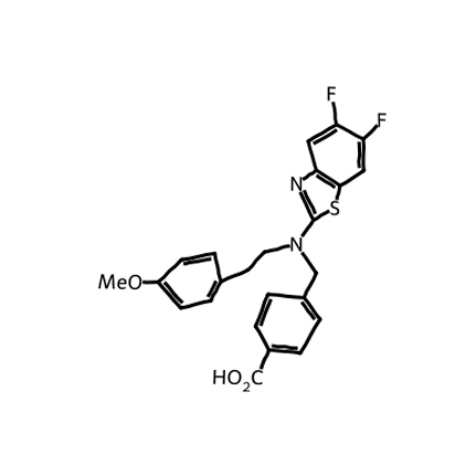 COc1ccc(CCN(Cc2ccc(C(=O)O)cc2)c2nc3cc(F)c(F)cc3s2)cc1